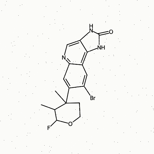 CC1C(F)OCCC1(C)c1cc2ncc3[nH]c(=O)[nH]c3c2cc1Br